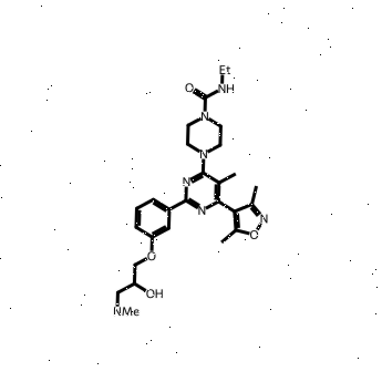 CCNC(=O)N1CCN(c2nc(-c3cccc(OCC(O)CNC)c3)nc(-c3c(C)noc3C)c2C)CC1